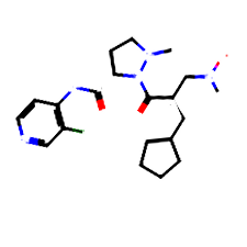 CN1CC[C@@H](C(=O)Nc2ccncc2F)N1C(=O)[C@H](CC1CCCC1)CN(O)C=O